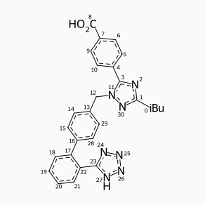 CCC(C)c1nc(-c2ccc(C(=O)O)cc2)n(Cc2ccc(-c3ccccc3-c3nnn[nH]3)cc2)n1